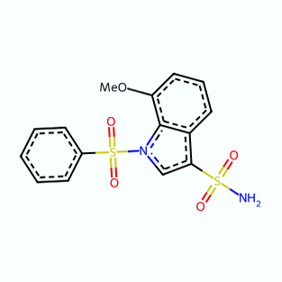 COc1cccc2c(S(N)(=O)=O)cn(S(=O)(=O)c3ccccc3)c12